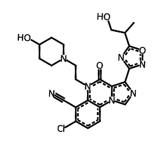 CC(CO)c1nc(-c2ncn3c2c(=O)n(CCN2CCC(O)CC2)c2c(C#N)c(Cl)ccc23)no1